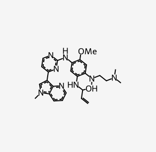 C=CC(O)Nc1cc(Nc2nccc(-c3cn(C)c4cccnc34)n2)c(OC)cc1N(C)CCN(C)C